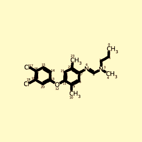 CCCN(C)C=Nc1cc(C)c(Oc2ccc(Cl)c(Cl)c2)cc1C